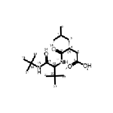 CC(C)C[C@H](CC(=O)O)C(=O)NC(C(=O)NC(C)(C)C)C(C)(C)C